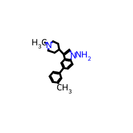 Cc1cccc(-c2ccc3c(c2)c(C2CCN(C)CC2)cn3N)c1